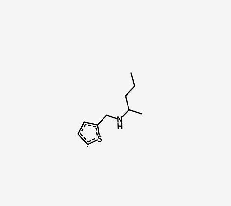 CCCC(C)NCc1cc[c]s1